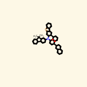 CC1(C)c2ccccc2-c2ccc(N(c3ccc(-c4ccc5ccccc5c4)cc3)c3cc4sc5ccccc5c4cc3-c3ccccc3)cc21